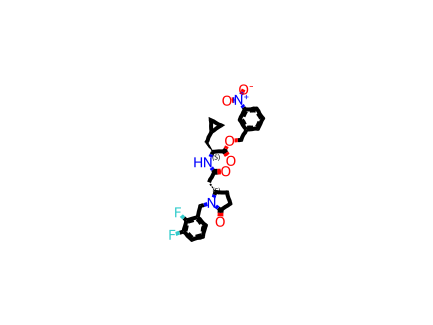 O=C(C[C@@H]1CCC(=O)N1Cc1cccc(F)c1F)N[C@@H](CC1CC1)C(=O)OCc1cccc([N+](=O)[O-])c1